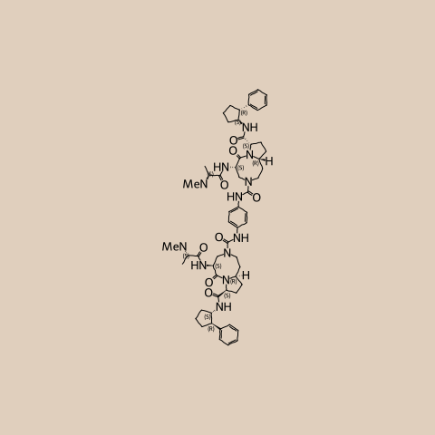 CN[C@@H](C)C(=O)N[C@H]1CN(C(=O)Nc2ccc(NC(=O)N3CC[C@H]4CC[C@@H](C(=O)N[C@H]5CCC[C@@H]5c5ccccc5)N4C(=O)[C@@H](NC(=O)[C@H](C)NC)C3)cc2)CC[C@H]2CC[C@@H](C(=O)N[C@H]3CCC[C@@H]3c3ccccc3)N2C1=O